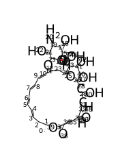 C[C@@H]1C/C=C/C=C/C=C/C=C/[C@H](O[C@@H]2O[C@H](C)[C@@H](O)[C@H](N)[C@@H]2O)C[C@@H]2O[C@](O)(CC(O)C[C@H]3O[C@@H]3/C=C/C(=O)O1)C[C@H](O)[C@H]2C(=O)O